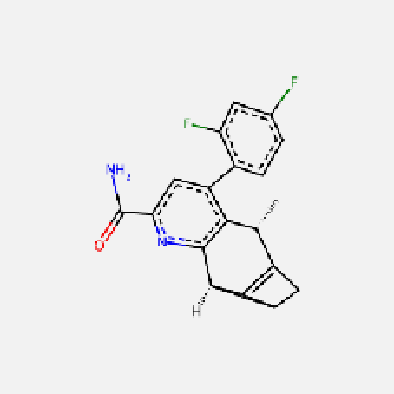 C[C@@H]1C2=C3C(C2)[C@H]3c2nc(C(N)=O)cc(-c3ccc(F)cc3F)c21